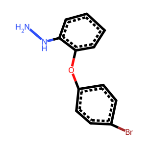 NNc1ccccc1Oc1ccc(Br)cc1